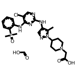 Cc1c(Nc2ncc(Cl)c(Nc3ccccc3P(C)(C)=O)n2)cnn1C1CCN(CC(=O)O)CC1.O=CO